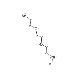 CC(=O)CCOCCOCCNI